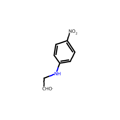 O=[C]CNc1ccc([N+](=O)[O-])cc1